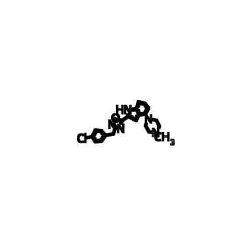 CN1CCN(c2cccc3[nH]c(-c4nc(Cc5ccc(Cl)cc5)no4)cc23)CC1